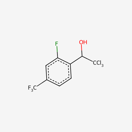 OC(c1ccc(C(F)(F)F)cc1F)C(Cl)(Cl)Cl